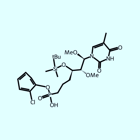 CO[C@@H]([C@@H](OC)n1cc(C)c(=O)[nH]c1=O)[C@@H](CCCP(=O)(O)Oc1ccccc1Cl)O[Si](C)(C)C(C)(C)C